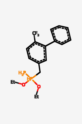 CCO[PH](P)(Cc1ccc(C(F)(F)F)c(-c2ccccc2)c1)OCC